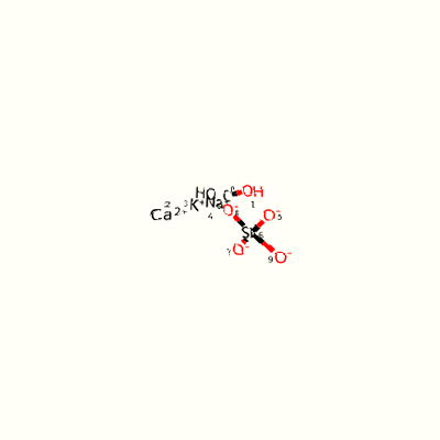 O=C(O)O.[Ca+2].[K+].[Na+].[O-][Si]([O-])([O-])[O-]